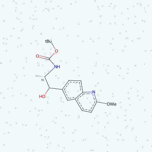 COc1ccc2cc(C(O)[C@H](C)NC(=O)OC(C)(C)C)ccc2n1